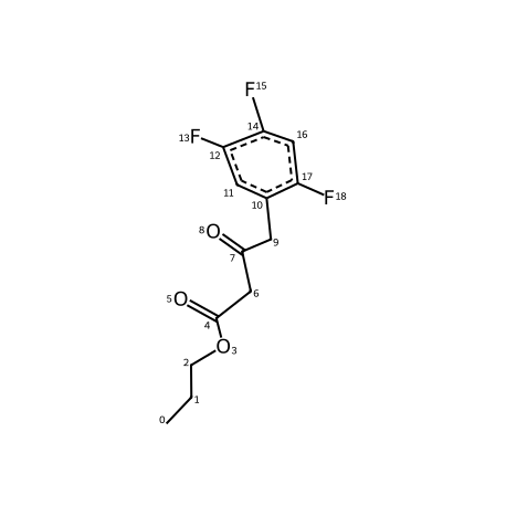 CCCOC(=O)CC(=O)Cc1cc(F)c(F)cc1F